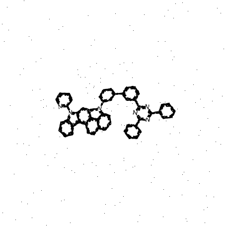 c1ccc(-c2nc(-c3ccccc3)nc(-c3cccc(-c4cccc(-n5c6cccc7ccc8c9c%10ccccc%10n(-c%10ccccn%10)c9cc5c8c76)c4)c3)n2)cc1